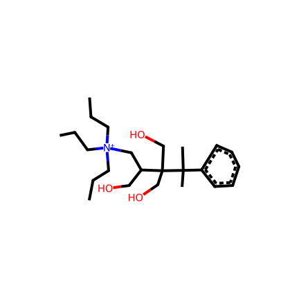 CCC[N+](CCC)(CCC)CC(CO)C(CO)(CO)C(C)(C)c1ccccc1